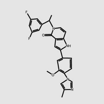 COc1cc(-c2cc3c(=O)n(C(C)c4cc(F)cc(F)c4)ccc3[nH]2)ccc1-n1cnc(C)c1